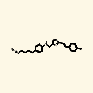 Cc1ccc(/C=C/c2nc(CNc3ccc(CCCCN=[N+]=[N-])cc3)co2)cc1